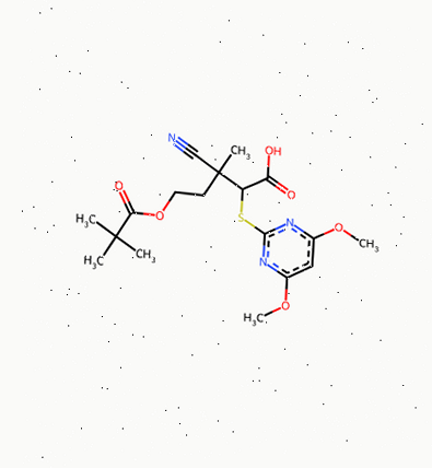 COc1cc(OC)nc(SC(C(=O)O)C(C)(C#N)CCOC(=O)C(C)(C)C)n1